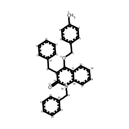 Cc1ccc(COc2c(Cc3ccccc3)c(=O)n(Cc3ccccc3)c3ccccc23)cc1